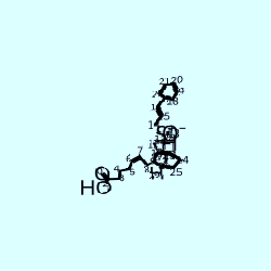 O=C(O)CCC/C=C\C[C@H]1[C@@H](C[S+]([O-])CC=Cc2ccccc2)[C@H]2CC[C@@H]1O2